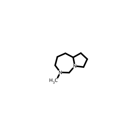 CN1CCCC2CCCN2C1